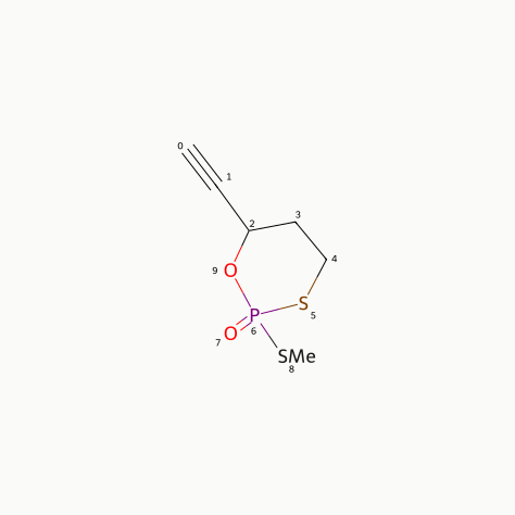 C#CC1CCSP(=O)(SC)O1